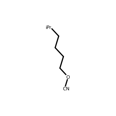 CC(C)CCCCOC#N